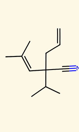 C=CCC(C#N)(C=C(C)C)C(C)C